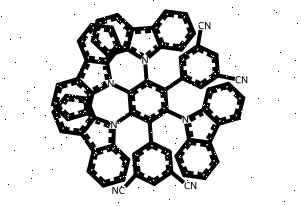 N#Cc1cc(C#N)cc(-c2c(-n3c4ccccc4c4ccccc43)c(-c3cc(C#N)cc(C#N)c3)c(-n3c4ccccc4c4ccccc43)c(-n3c4ccccc4c4ccccc43)c2-n2c3ccccc3c3ccccc32)c1